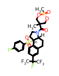 CC1(C(=O)N2CC[C@@]3(S(=O)(=O)c4ccc(F)cc4)c4ccc(C(F)(C(F)(F)F)C(F)(F)F)cc4CC[C@@H]23)COP(C)(=O)OC1